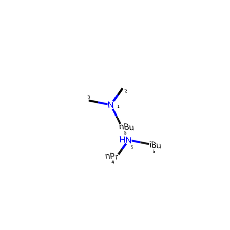 CCCCN(C)C.CCCNC(C)CC